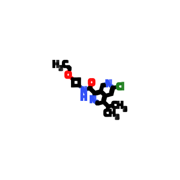 CCO[C@H]1C[C@H](NC(=O)c2ncc(C(C)C)c3cc(Cl)ncc23)C1